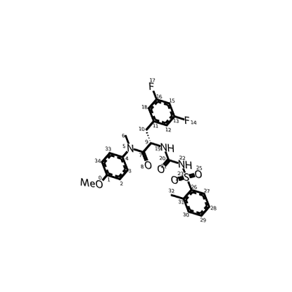 COc1ccc(N(C)C(=O)[C@H](Cc2cc(F)cc(F)c2)NC(=O)NS(=O)(=O)c2ccccc2C)cc1